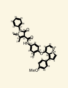 COc1ccc(-c2ccn3nccc(Oc4ccc(NC(=O)c5c(C)n(C)n(-c6ccccc6)c5=O)cc4F)c23)cc1